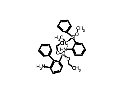 CCO[Si](Nc1ccccc1[Si](OC)(OC)c1ccccc1)(OCC)c1cccc(N)c1-c1ccccc1